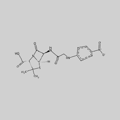 CC1(C)S[C@@H]2[C@H](NC(=O)CNc3ccc([N+](=O)[O-])cc3)C(=O)N2[C@H]1C(=O)O